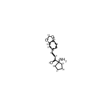 NC1(C(=O)/C=C/c2ccc3c(c2)OCO3)CCCC1